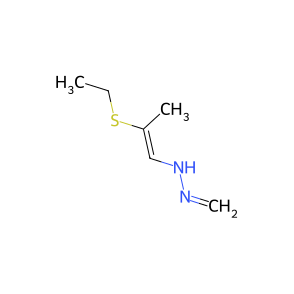 C=NN/C=C(\C)SCC